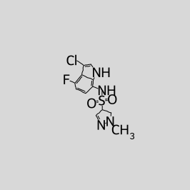 CN1CC(S(=O)(=O)Nc2ccc(F)c3c(Cl)c[nH]c23)C=N1